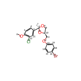 COc1ccc([C@@]2(C)OC[C@@H](COc3ccc(Br)cc3)O2)cc1Cl